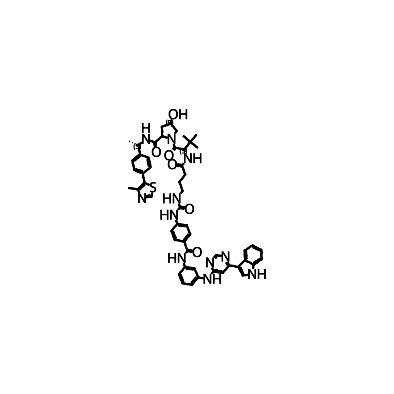 Cc1ncsc1-c1ccc([C@H](C)NC(=O)C2C[C@@H](O)CN2C(=O)[C@@H](NC(=O)CCCNC(=O)Nc2ccc(C(=O)Nc3cccc(Nc4cc(-c5c[nH]c6ccccc56)ncn4)c3)cc2)C(C)(C)C)cc1